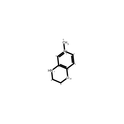 C[n+]1ccc2c(c1)NCCO2